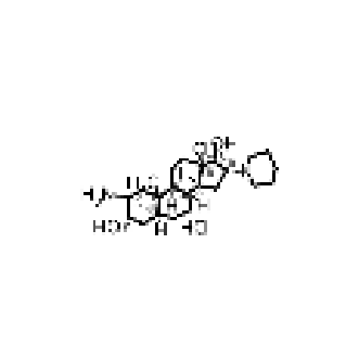 C[C@]12C[C@H](N)[C@@H](O)C[C@@H]1CC[C@@H]1[C@@H]2CC[C@]2(C)[C@@H](O)[C@@H](N3CCCCC3)C[C@@H]12.Cl